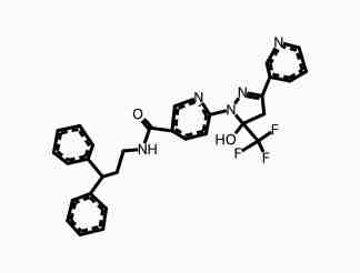 O=C(NCCC(c1ccccc1)c1ccccc1)c1ccc(N2N=C(c3cccnc3)CC2(O)C(F)(F)F)nc1